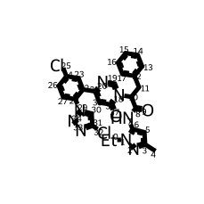 CCn1nc(C)cc1NC(=O)C(Cc1ccccc1)n1cnc(-c2cc(Cl)ccc2-n2cc(Cl)nn2)cc1=O